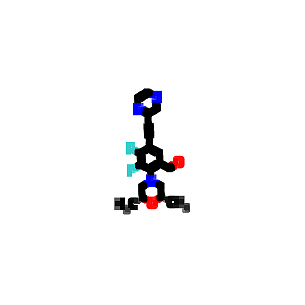 C[C@@H]1CN(c2c(C=O)cc(C#Cc3cnccn3)c(F)c2F)C[C@H](C)O1